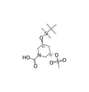 CC(C)(C)[Si](C)(C)O[C@H]1C[C@H](OS(C)(=O)=O)CN(C(=O)O)C1